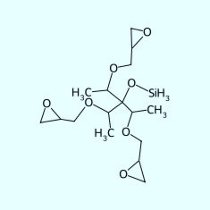 CC(OCC1CO1)C(O[SiH3])(C(C)OCC1CO1)C(C)OCC1CO1